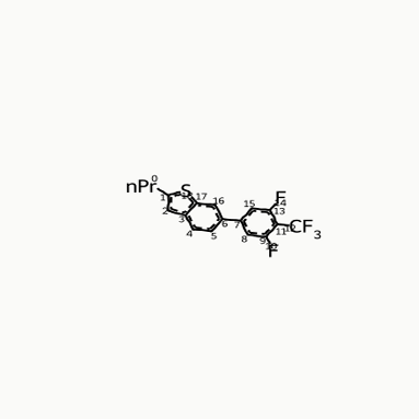 CCCc1cc2ccc(-c3cc(F)c(C(F)(F)F)c(F)c3)cc2s1